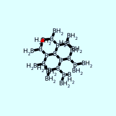 BBB(B(B)B)B(B(B(B)B)B(B)B)B(B(B(B)B)B(B)B)B(B(B)B)B(B)B